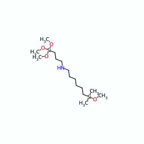 CO[Si](C)(C)CCCCCCNCCC[Si](OC)(OC)OC